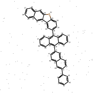 c1ccc(-c2ccc3cc(-c4c5ccccc5c(-c5ccc6sc7cc8ccccc8cc7c6c5)c5ccccc45)ccc3c2)cc1